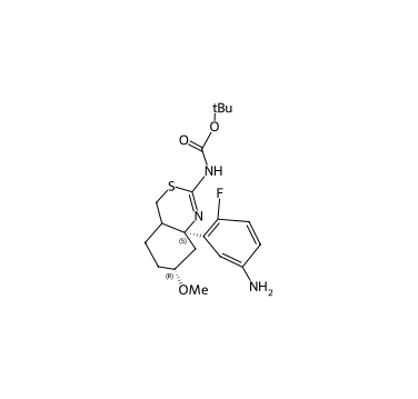 CO[C@@H]1CCC2CSC(NC(=O)OC(C)(C)C)=N[C@@]2(c2cc(N)ccc2F)C1